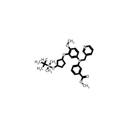 COC(=O)c1cccc(N(Cc2cccnc2)c2ccc(OC)c(OC3CCC(O[Si](C)(C)C(C)(C)C)C3)c2)c1